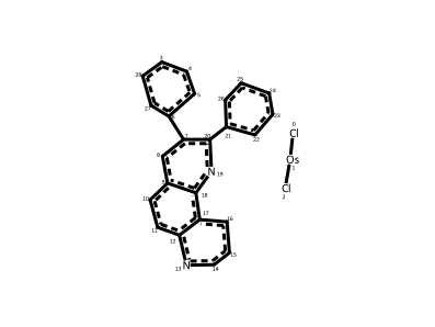 [Cl][Os][Cl].c1ccc(-c2cc3ccc4ncccc4c3nc2-c2ccccc2)cc1